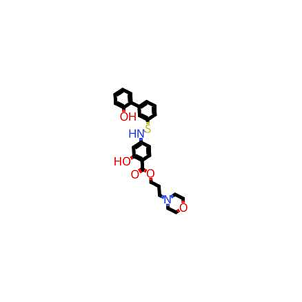 O=C(OCCCN1CCOCC1)c1ccc(NSc2cccc(-c3ccccc3O)c2)cc1O